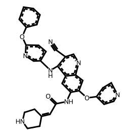 N#Cc1cnc2cc(Oc3ccncc3)c(NC(=O)C=C3CCNCC3)cc2c1Nc1ccc(Oc2ccccc2)nc1